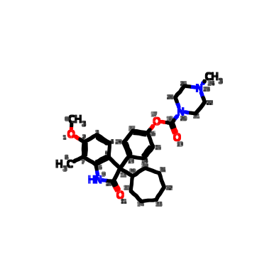 COc1ccc2c(c1C)NC(=O)C2(c1ccc(OC(=O)N2CCN(C)CC2)cc1)C1CCCCCC1